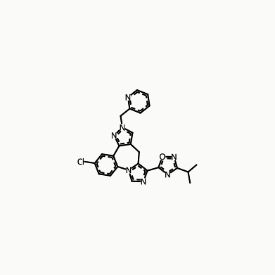 CC(C)c1noc(-c2ncn3c2Cc2cn(Cc4ccccn4)nc2-c2cc(Cl)ccc2-3)n1